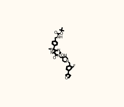 Cn1nc2c(=O)n(CC3(O)CCN(Cc4ccc(-c5ccoc5)cc4F)CC3)cnc2c1-c1ccc(CNC(=O)OC(C)(C)C)cc1